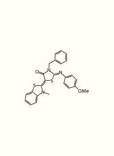 COc1ccc(N=C2SC(=C3Sc4ccccc4N3C)C(=O)N2Cc2ccccc2)cc1